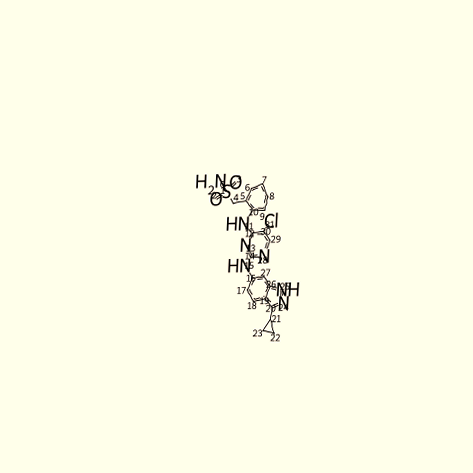 NS(=O)(=O)Cc1ccccc1Nc1nc(Nc2ccc3c(C4CC4)n[nH]c3c2)ncc1Cl